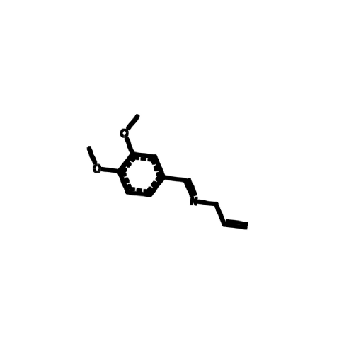 C=CCN=Cc1ccc(OC)c(OC)c1